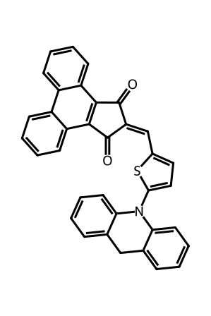 O=C1C(=Cc2ccc(N3c4ccccc4Cc4ccccc43)s2)C(=O)c2c1c1ccccc1c1ccccc21